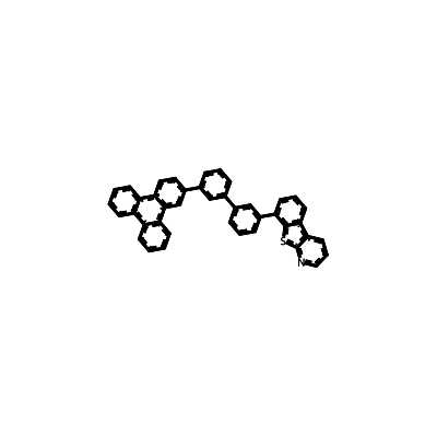 c1cc(-c2cccc(-c3cccc4c3sc3ncccc34)c2)cc(-c2ccc3c4ccccc4c4ccccc4c3c2)c1